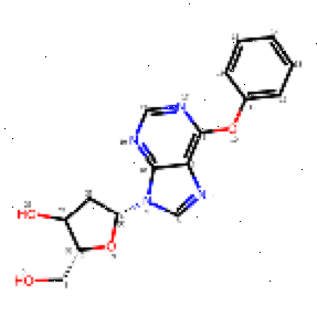 OC[C@H]1O[C@@H](n2cnc3c(Oc4ccccc4)ncnc32)CC1O